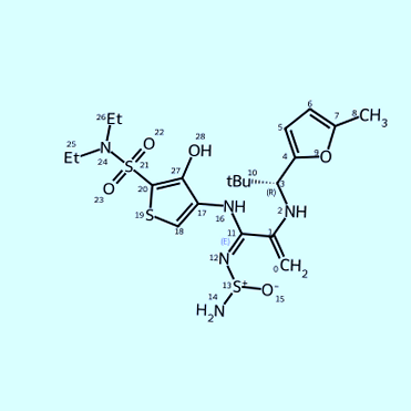 C=C(N[C@@H](c1ccc(C)o1)C(C)(C)C)/C(=N\[S+](N)[O-])Nc1csc(S(=O)(=O)N(CC)CC)c1O